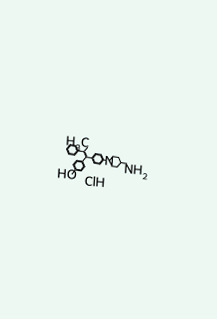 CCC(=C(c1ccc(O)cc1)c1ccc(N2CCC(CN)CC2)cc1)c1ccccc1.Cl